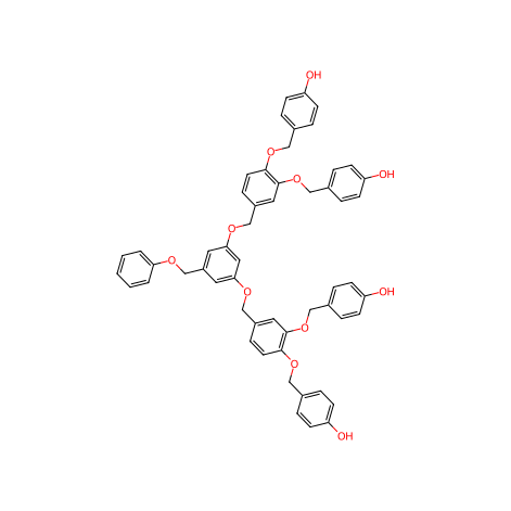 Oc1ccc(COc2ccc(COc3cc(COc4ccccc4)cc(OCc4ccc(OCc5ccc(O)cc5)c(OCc5ccc(O)cc5)c4)c3)cc2OCc2ccc(O)cc2)cc1